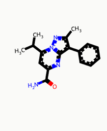 Cc1nn2c(C(C)C)cc(C(N)=O)nc2c1-c1ccccc1